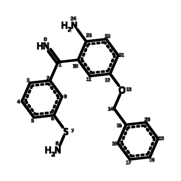 N=C(c1cccc(SN)c1)c1cc(OCc2ccccc2)ccc1N